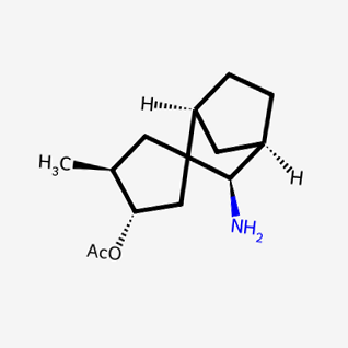 CC(=O)O[C@H]1CC2(C[C@@H]1C)[C@H]1CC[C@H](C1)[C@H]2N